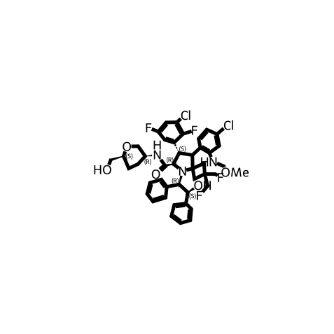 COCNc1cc(Cl)ccc1C1[C@@H](c2cc(F)cc(Cl)c2F)[C@H](C(=O)N[C@@H]2CC[C@@H](CO)OC2)N([C@H](c2ccccc2)[C@@H](O)c2ccccc2)C12CC(CF)(CF)C2